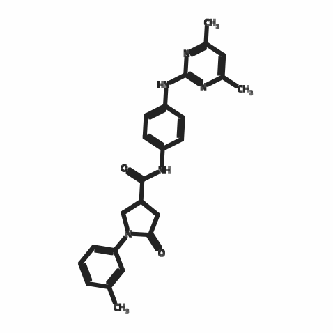 Cc1cccc(N2CC(C(=O)Nc3ccc(Nc4nc(C)cc(C)n4)cc3)CC2=O)c1